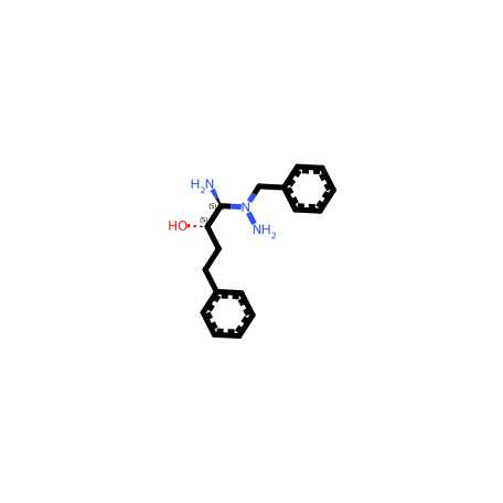 N[C@H]([C@@H](O)CCc1ccccc1)N(N)Cc1ccccc1